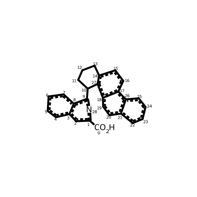 O=C(O)c1cc2ccccc2c(C2CCCc3ccc4c(ccc5ccccc54)c32)n1